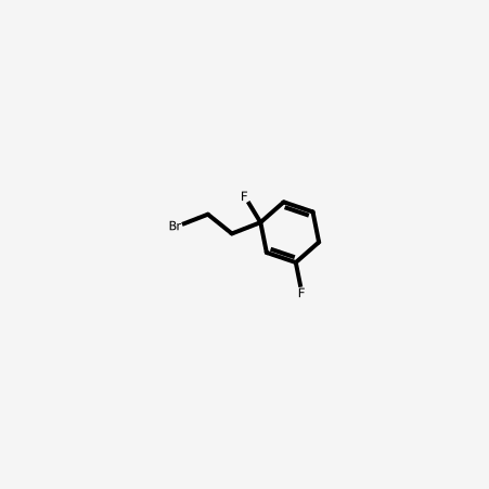 FC1=CC(F)(CCBr)C=CC1